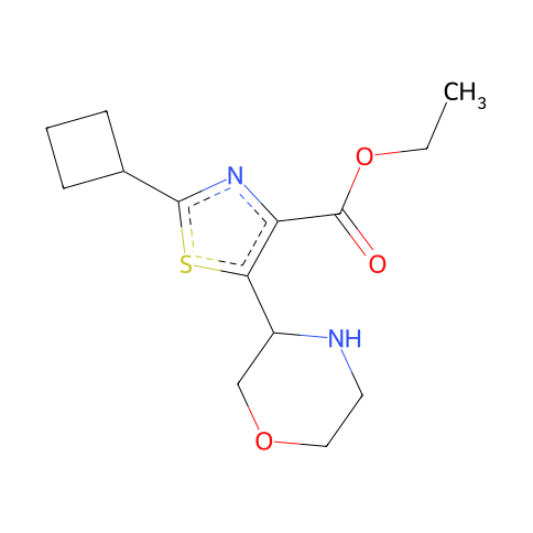 CCOC(=O)c1nc(C2CCC2)sc1C1COCCN1